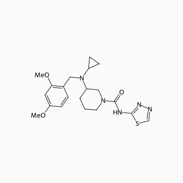 COc1ccc(CN(C2CC2)C2CCCN(C(=O)Nc3nncs3)C2)c(OC)c1